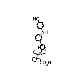 N#Cc1ccc(Nc2cccc(-c3csc(NC(=O)C4(CC(=O)O)CCC4)n3)c2)cc1